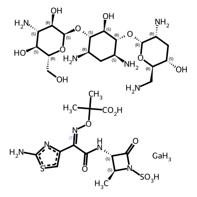 C[C@H]1[C@H](NC(=O)/C(=N\OC(C)(C)C(=O)O)c2csc(N)n2)C(=O)N1S(=O)(=O)O.NC[C@H]1O[C@H](O[C@H]2[C@H](O)[C@@H](O[C@H]3O[C@H](CO)[C@@H](O)[C@H](N)[C@H]3O)[C@H](N)C[C@@H]2N)[C@H](N)C[C@@H]1O.[GaH3]